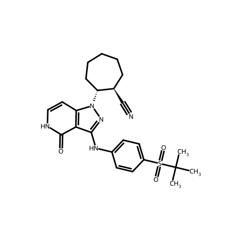 CC(C)(C)S(=O)(=O)c1ccc(Nc2nn([C@@H]3CCCCC[C@H]3C#N)c3cc[nH]c(=O)c23)cc1